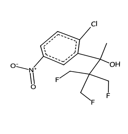 CC(O)(c1cc([N+](=O)[O-])ccc1Cl)C(CF)(CF)CF